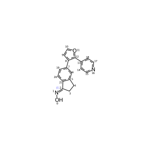 O/N=C1\CCc2cc(-c3ccoc3-c3ccncc3)ccc21